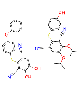 CC(C)Oc1cc(C#N)c(Sc2ccc(O)cc2)c(C#N)c1OC(C)C.N#Cc1cc(O)c(O)c(C#N)c1Sc1ccc(Oc2ccccc2)cc1